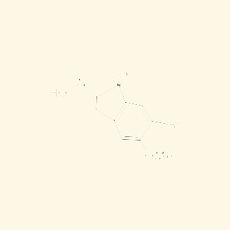 COc1cc2c(cc1Br)C(=O)C(=NO)C2